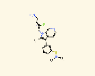 Cc1c(-c2cccc(SN(C)C)c2)c2ccncc2n1C/C(F)=C/CN